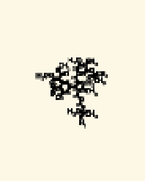 COC(=O)C(C(=O)OC)c1cc(-c2c(COCC(C)N(C)C(=O)OC(C)(C)C)nc(C)n2COCC[Si](C)(C)C)cc(Cl)c1[N+](=O)[O-]